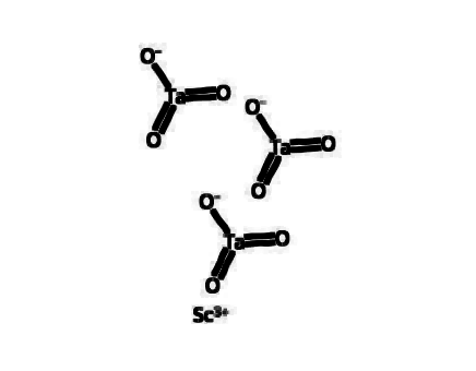 [O]=[Ta](=[O])[O-].[O]=[Ta](=[O])[O-].[O]=[Ta](=[O])[O-].[Sc+3]